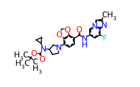 Cc1cn2cc(NC(=O)c3ccc(N4CCC(N(C(=O)OC(C)(C)C)C5CC5)C4)c4c3OCO4)cc(F)c2n1